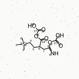 C[Si](C)(C)CCC(CC(=N)OC(=O)O)C(=O)OC(=O)O